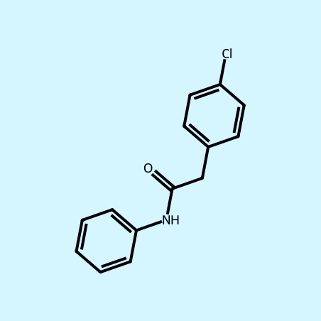 O=C(Cc1ccc(Cl)cc1)Nc1ccccc1